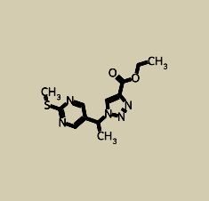 CCOC(=O)c1cn(C(C)c2cnc(SC)nc2)nn1